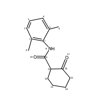 Cc1cccc(C)c1NC(=O)C1CCCCC1=O